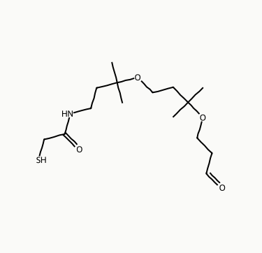 CC(C)(CCNC(=O)CS)OCCC(C)(C)OCCC=O